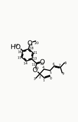 C=CC(C)(CCC=C(C)C)OC(=O)c1ccc(O)c(OC)c1